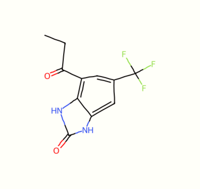 CCC(=O)c1cc(C(F)(F)F)cc2[nH]c(=O)[nH]c12